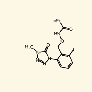 CCCC(=O)NOCc1c(I)cccc1-n1nnn(C)c1=O